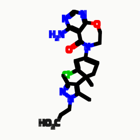 Cc1nn(CCC(=O)O)c(C)c1C1(C)CC=C(N2CCOc3ncnc(N)c3C2=O)C=C1Cl